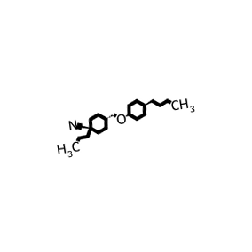 CCCC[C@H]1CC[C@H](OC[C@H]2CC[C@@](C#N)(CCC)CC2)CC1